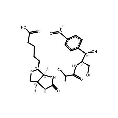 O=C(N[C@H](CO)[C@H](O)c1ccc([N+](=O)[O-])cc1)C(Cl)Cl.O=C(O)CCCC[C@@H]1SC[C@@H]2NC(=O)N[C@@H]21